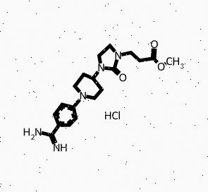 COC(=O)CCN1CCN(C2CCN(c3ccc(C(=N)N)cc3)CC2)C1=O.Cl